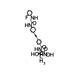 C[C@@H](O)[C@H](NC(=O)c1ccc(C#Cc2ccc(NC(=O)CNc3ccccc3F)cc2)cc1)C(=O)NO